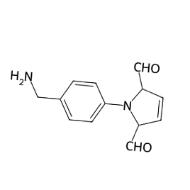 NCc1ccc(N2C(C=O)C=CC2C=O)cc1